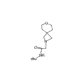 CC(C)(C)NC(=O)CN1CC2(CCOCC2)C1